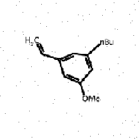 C=Cc1cc(CCCC)cc(OC)c1